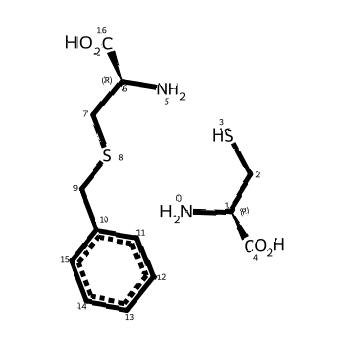 N[C@@H](CS)C(=O)O.N[C@@H](CSCc1ccccc1)C(=O)O